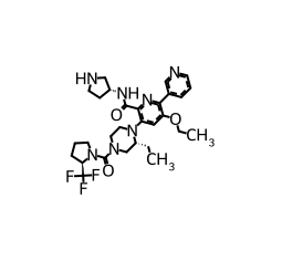 CCOc1cc(N2CCN(C(=O)N3CCC[C@@H]3C(F)(F)F)C[C@H]2CC)c(C(=O)N[C@@H]2CCNC2)nc1-c1cccnc1